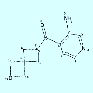 Nc1cnccc1C(=O)N1CC2(COC2)C1